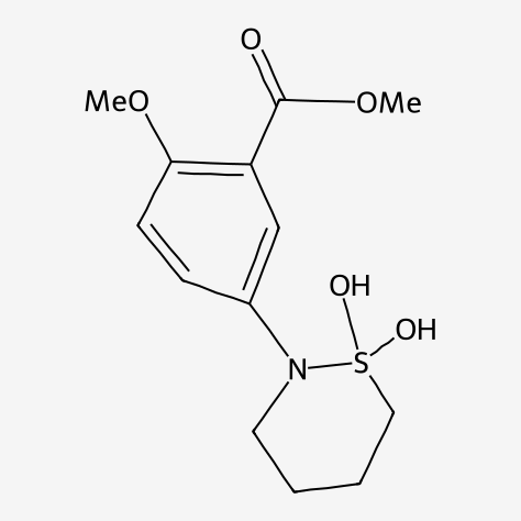 COC(=O)c1cc(N2CCCCS2(O)O)ccc1OC